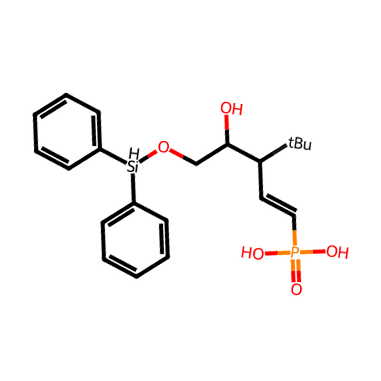 CC(C)(C)C(C=CP(=O)(O)O)C(O)CO[SiH](c1ccccc1)c1ccccc1